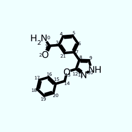 NC(=O)c1cccc(-c2c[nH]nc2OCc2ccccc2)c1